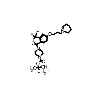 CC(C)(C)OC(=O)N1CCN(C(=O)c2ccc(OCCCN3CCCCC3)cc2C(F)(F)F)CC1